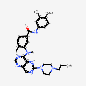 COCCN1CCN(c2ncc3ncnc(N(C)c4cc(C(=O)Nc5ccc(OC)c(C(F)(F)F)c5)ccc4C)c3n2)CC1